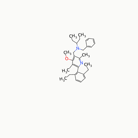 CCc1cccc(CC)c1-c1nc(C)c(CN(Cc2ccccc2)C(CC)CC)c(OC)c1C